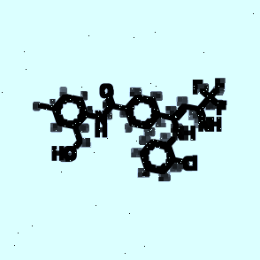 Cc1ccc(NC(=O)c2ccc(/C(=C/C(=N)C(F)(F)F)Nc3ccccc3Cl)cc2)c(CO)c1